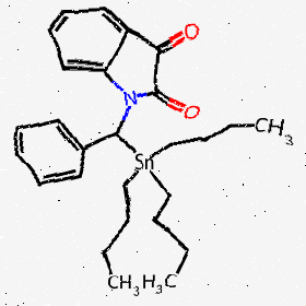 CCC[CH2][Sn]([CH2]CCC)([CH2]CCC)[CH](c1ccccc1)N1C(=O)C(=O)c2ccccc21